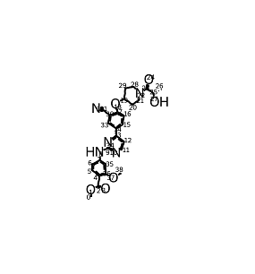 COC(=O)c1ccc(Nc2nccc(-c3ccc(OC4CCN(C(=O)[C@H](C)O)CC4)c(C#N)c3)n2)cc1OC